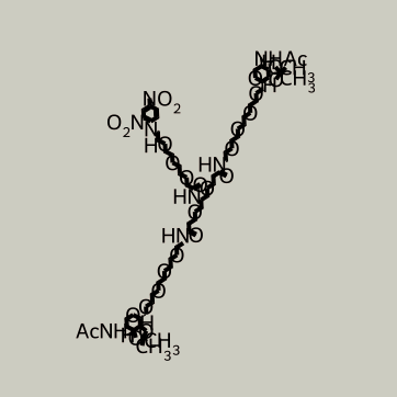 CC(=O)N[C@@H]1CO[C@H](COCCOCCOCCOCCNC(=O)CCOCC(COCCC(=O)NCCOCCOCCOCCOC[C@H]2OC[C@@H](NC(C)=O)[C@H]3OC(C)(C)O[C@H]32)NC(=O)COCCOCCOCCNc2ccc([N+](=O)[O-])cc2[N+](=O)[O-])[C@@H]2OC(C)(C)O[C@@H]21